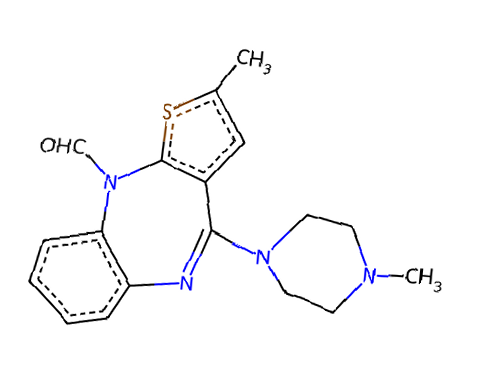 Cc1cc2c(s1)N(C=O)c1ccccc1N=C2N1CCN(C)CC1